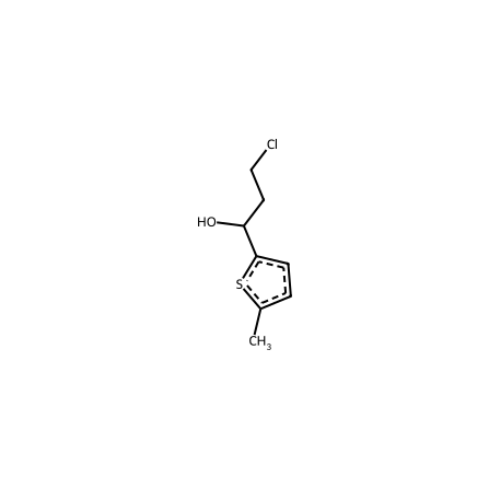 Cc1ccc(C(O)CCCl)s1